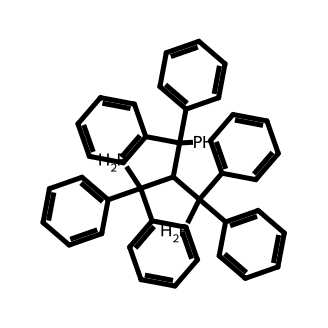 PC(c1ccccc1)(c1ccccc1)C(C(P)(c1ccccc1)c1ccccc1)C(P)(c1ccccc1)c1ccccc1